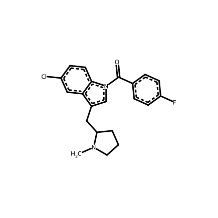 CN1CCCC1Cc1cn(C(=O)c2ccc(F)cc2)c2ccc(Cl)cc12